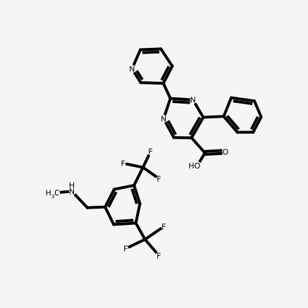 CNCc1cc(C(F)(F)F)cc(C(F)(F)F)c1.O=C(O)c1cnc(-c2cccnc2)nc1-c1ccccc1